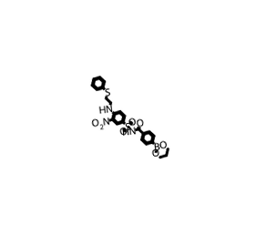 O=C(NS(=O)(=O)c1ccc(NCCSc2ccccc2)c([N+](=O)[O-])c1)c1ccc(B2OCCCO2)cc1